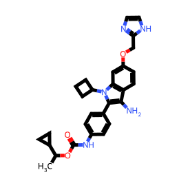 CC(OC(=O)Nc1ccc(-c2c(N)c3ccc(OCc4ncc[nH]4)cc3n2C2CCC2)cc1)C1CC1